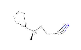 C[C@H](CCC#N)C1CCCC1